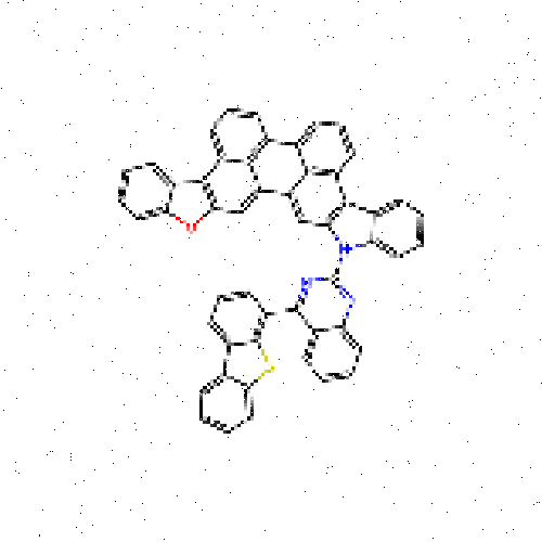 c1ccc2c(-c3cccc4c3sc3ccccc34)nc(-n3c4ccccc4c4c5cccc6c7cccc8c9c(cc(c(cc43)c65)c78)oc3ccccc39)nc2c1